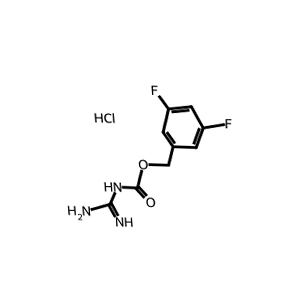 Cl.N=C(N)NC(=O)OCc1cc(F)cc(F)c1